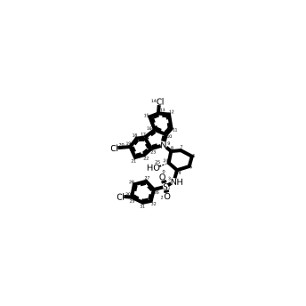 O=S(=O)(NC1CCCC(n2c3ccc(Cl)cc3c3cc(Cl)ccc32)[C@H]1O)c1ccc(Cl)cc1